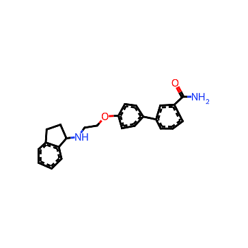 NC(=O)c1cccc(-c2ccc(OCCNC3CCc4ccccc43)cc2)c1